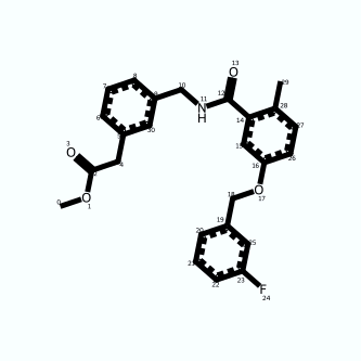 COC(=O)Cc1cccc(CNC(=O)c2cc(OCc3cccc(F)c3)ccc2C)c1